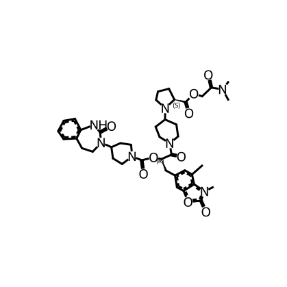 Cc1cc(C[C@@H](OC(=O)N2CCC(N3CCc4ccccc4NC3=O)CC2)C(=O)N2CCC(N3CCC[C@H]3C(=O)OCC(=O)N(C)C)CC2)cc2oc(=O)n(C)c12